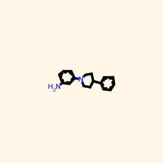 Nc1cccc(N2CCC(c3ccccc3)CC2)c1